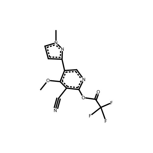 COc1c(-c2ccn(C)n2)cnc(OC(=O)C(F)(F)F)c1C#N